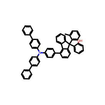 Cc1ccccc1C1(c2ccccc2O)c2ccccc2-c2c(-c3ccc(N(c4ccc(-c5ccccc5)cc4)c4ccc(-c5ccccc5)cc4)cc3)cccc21